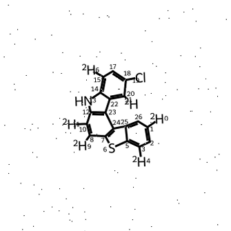 [2H]c1cc([2H])c2sc3c([2H])c([2H])c4[nH]c5c([2H])cc(Cl)c([2H])c5c4c3c2c1